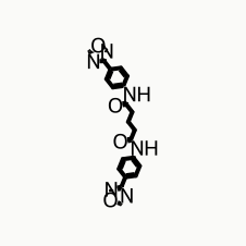 O=C(CCCC(=O)Nc1ccc(-c2ncon2)cc1)Nc1ccc(-c2ncon2)cc1